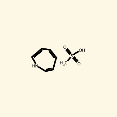 C1=CC=CNC=C1.CS(=O)(=O)O